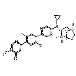 Cn1cnc(-c2cc(O)c(-c3cnc(N(C4CC4)[C@@H]4C[C@H]5CC[C@H](N5)[C@@H]4F)cn3)cc2F)cc1=O